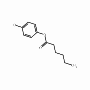 CCCCCC(=O)Oc1ccc([O])cc1